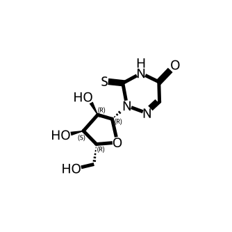 O=c1cnn([C@@H]2O[C@H](CO)[C@@H](O)[C@H]2O)c(=S)[nH]1